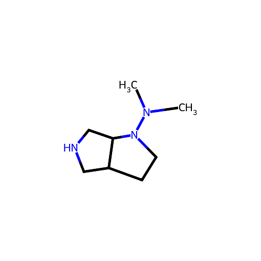 CN(C)N1CCC2CNCC21